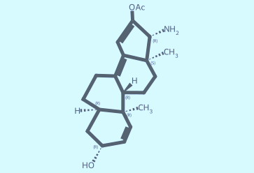 CC(=O)OC1=CC2=C3CC[C@@H]4C[C@@H](O)C=C[C@]4(C)[C@H]3CC[C@]2(C)[C@H]1N